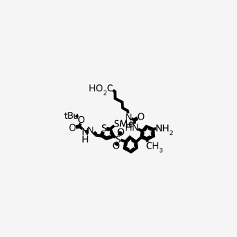 CSc1sc(C=NNC(=O)OC(C)(C)C)cc1S(=O)(=O)c1cccc(-c2c(C)cc(N)cc2NC(=O)NCCCCCC(=O)O)c1